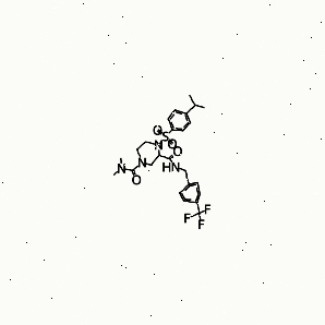 CC(C)c1ccc(S(=O)(=O)N2CCN(C(=O)N(C)C)CC2C(=O)NCc2ccc(C(F)(F)F)cc2)cc1